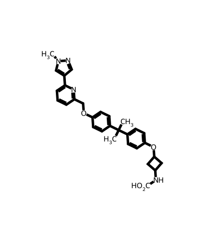 Cn1cc(-c2cccc(COc3ccc(C(C)(C)c4ccc(OC5CC(NC(=O)O)C5)cc4)cc3)n2)cn1